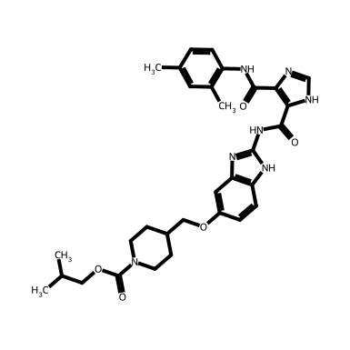 Cc1ccc(NC(=O)c2nc[nH]c2C(=O)Nc2nc3cc(OCC4CCN(C(=O)OCC(C)C)CC4)ccc3[nH]2)c(C)c1